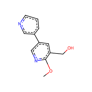 COc1ncc(-c2cccnc2)cc1CO